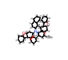 CC(C)(C)c1ccc(N(c2ccc3c(c2)oc2ccccc23)c2ccc3ccccc3c2-c2cccc3oc4ccccc4c23)c(-c2ccccc2)c1